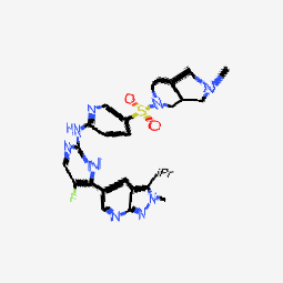 CC(C)c1c2cc(-c3nc(Nc4ccc(S(=O)(=O)N5CC6CN(C)CC6C5)cn4)ncc3F)cnc2nn1C